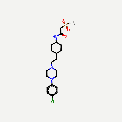 CS(=O)(=O)CC(=O)NC1CCC(CCN2CCN(c3ccc(Cl)cc3)CC2)CC1